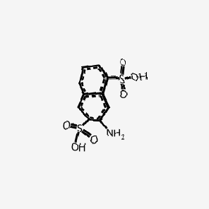 Nc1cc2c(S(=O)(=O)O)cccc2cc1S(=O)(=O)O